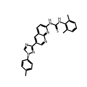 Cc1ccc(-n2cnc(-c3cnc4nc(NC(=S)Nc5c(C)cccc5C)ccc4c3)n2)cc1